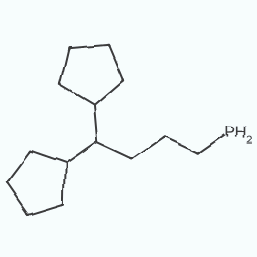 PCCCC(C1CCCC1)C1CCCC1